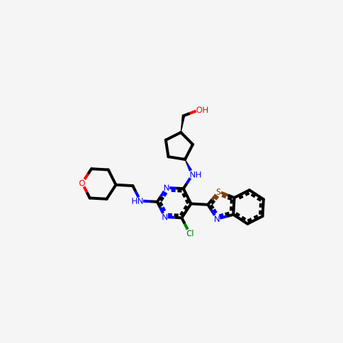 OC[C@@H]1CC[C@H](Nc2nc(NCC3CCOCC3)nc(Cl)c2-c2nc3ccccc3s2)C1